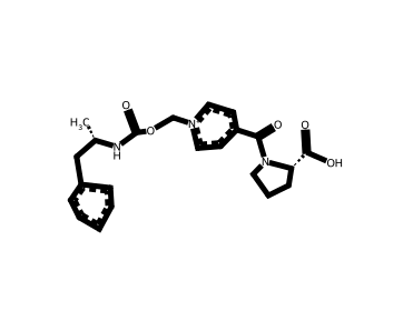 C[C@@H](Cc1ccccc1)NC(=O)OC[n+]1ccc(C(=O)N2CCC[C@H]2C(=O)O)cc1